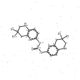 CCC1(CC)CNc2ccc(O[PH](=O)Oc3ccc4c(n3)CC(CC)(CC)CN4)nc2C1